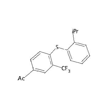 CC(=O)c1ccc(Sc2ccccc2C(C)C)c(C(F)(F)F)c1